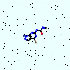 C=NC(=O)Nc1nc(Br)c2cn[nH]c2n1